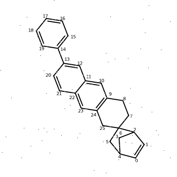 C1=CC2CC1CC21CCc2cc3cc(-c4ccccc4)ccc3cc2C1